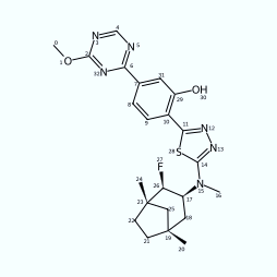 COc1ncnc(-c2ccc(-c3nnc(N(C)[C@H]4C[C@]5(C)CC[C@@](C)(C5)[C@H]4F)s3)c(O)c2)n1